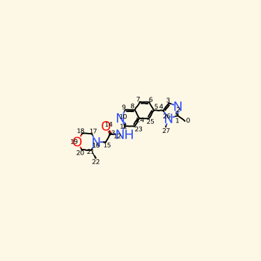 Cc1ncc(-c2ccc3cnc(NC(=O)CN4CCOC[C@@H]4C)cc3c2)n1C